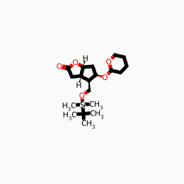 CC(C)(C)[Si](C)(C)OC[C@H]1[C@H]2CC(=O)O[C@H]2C[C@H]1OC1CCCCO1